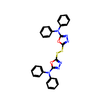 c1ccc(N(c2ccccc2)c2nnc(SSc3nnc(N(c4ccccc4)c4ccccc4)o3)o2)cc1